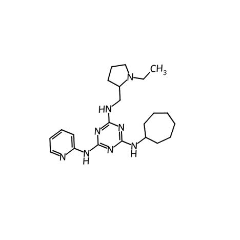 CCN1CCCC1CNc1nc(Nc2ccccn2)nc(NC2CCCCCC2)n1